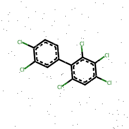 Clc1ccc(-c2c(Cl)cc(Cl)c(Cl)c2Cl)cc1Cl